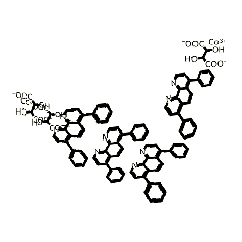 O=C([O-])C(O)C(O)C(=O)[O-].O=C([O-])C(O)C(O)C(=O)[O-].O=C([O-])C(O)C(O)C(=O)[O-].[Co+3].[Co+3].c1ccc(-c2ccnc3c2ccc2c(-c4ccccc4)ccnc23)cc1.c1ccc(-c2ccnc3c2ccc2c(-c4ccccc4)ccnc23)cc1.c1ccc(-c2ccnc3c2ccc2c(-c4ccccc4)ccnc23)cc1.c1ccc(-c2ccnc3c2ccc2c(-c4ccccc4)ccnc23)cc1